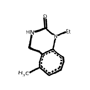 CCN1C(=O)NCc2c(C)cccc21